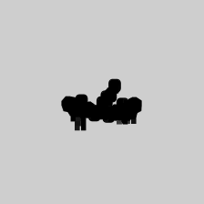 O=CCOOOOc1cc(Oc2ccc3c(c2)N=C[C@@H]2Cc4ccccc4N2C3=O)cc(Oc2ccc3c(c2)N[C@@H]2Cc4ccccc4N2C3=O)c1